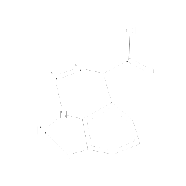 O=C(O)C1N=NN2NSc3cccc1c32